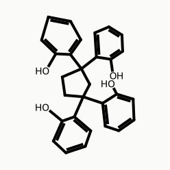 Oc1ccccc1C1(c2ccccc2O)CCC(c2ccccc2O)(c2ccccc2O)C1